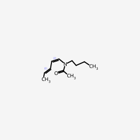 C/C=C/C=C\N(CCCC)C(C)=O